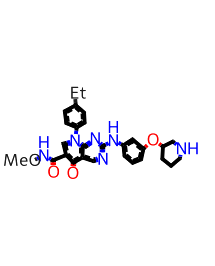 CCc1ccc(-n2cc(C(=O)NOC)c(=O)c3cnc(Nc4cccc(OC5CCCNC5)c4)nc32)cc1